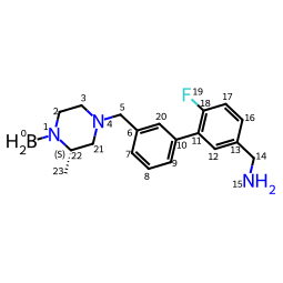 BN1CCN(Cc2cccc(-c3cc(CN)ccc3F)c2)C[C@@H]1C